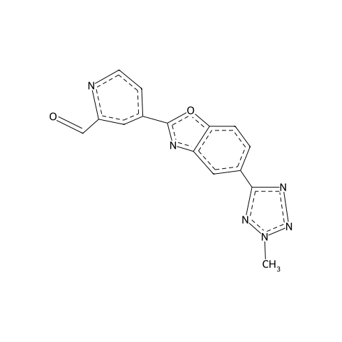 Cn1nnc(-c2ccc3oc(-c4ccnc(C=O)c4)nc3c2)n1